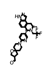 C[C@@H]1Cc2c(ccc3[nH]ncc23)[C@H](c2ccc(N3CCC4(CC3)CC(C=O)CO4)nc2)N1CC(F)(F)F